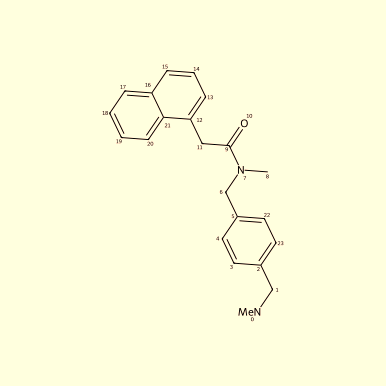 CNCc1ccc(CN(C)C(=O)Cc2cccc3ccccc23)cc1